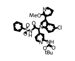 COc1ncccc1-c1cn(C(C(=O)NS(=O)(=O)c2ccccc2)c2ccnc(NC(=O)OC(C)(C)C)c2)c2ccc(Cl)cc12